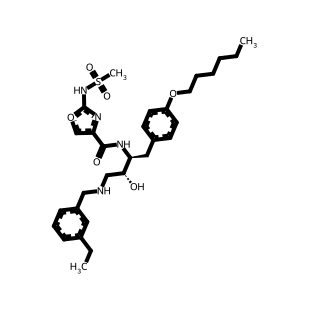 CCCCCCOc1ccc(C[C@H](NC(=O)c2coc(NS(C)(=O)=O)n2)[C@H](O)CNCc2cccc(CC)c2)cc1